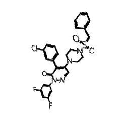 O=c1c(-c2cccc(Cl)c2)c(N2CCN(S(=O)(=O)Cc3ccccc3)CC2)cnn1-c1cc(F)cc(F)c1